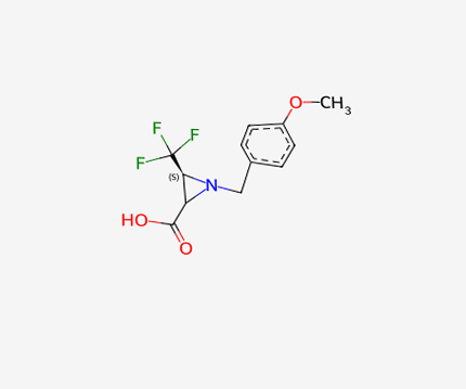 COc1ccc(CN2C(C(=O)O)[C@H]2C(F)(F)F)cc1